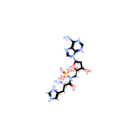 Nc1ncnc2c1ncn2[C@H]1CC(O)[C@@H](CN(C(=O)[C@@H](N)Cc2cnc[nH]2)P(=O)(O)O)O1